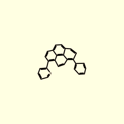 c1ccc(-c2ccc3ccc4ccc(-c5ccccn5)c5ccc2c3c45)cc1